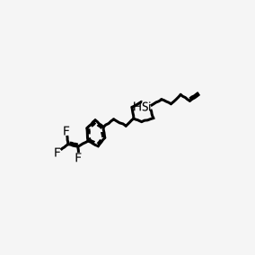 C=CCCC[SiH]1CCC(CCc2ccc(C(F)=C(F)F)cc2)CC1